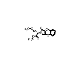 COCC[C@@H](C(=O)OC)N1CC(Oc2ccccc2Cl)=CC1=O